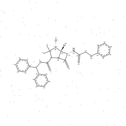 CC1(C)C(C(=O)OC(c2ccccc2)c2ccccc2)N2C(=O)[C@@H](NC(=O)COc3ccccc3)[C@H]2[S@@+]1[O-]